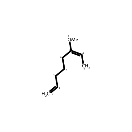 C=CCCCC(=CC)OC